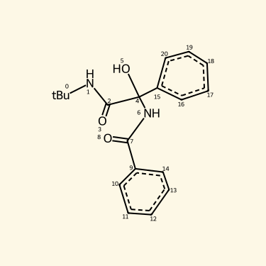 CC(C)(C)NC(=O)C(O)(NC(=O)c1ccccc1)c1ccccc1